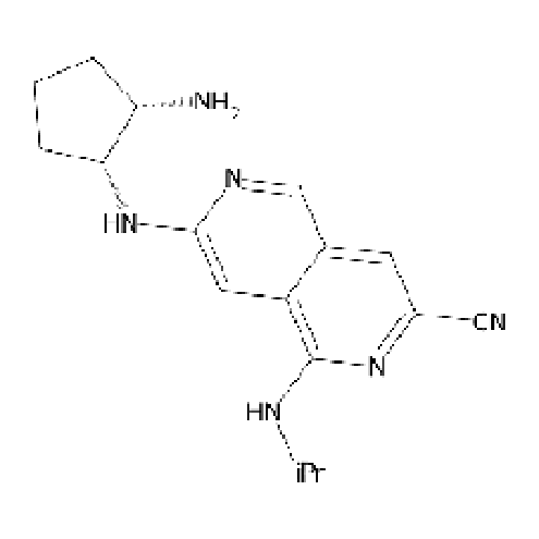 CC(C)Nc1nc(C#N)cc2cnc(N[C@@H]3CCC[C@@H]3N)cc12